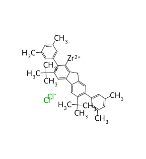 Cc1cc(C)cc(-c2cc3c(cc2C(C)(C)C)-c2cc(C(C)(C)C)c(-c4cc(C)cc(C)c4)[c]([Zr+2])c2C3)c1.[Cl-].[Cl-]